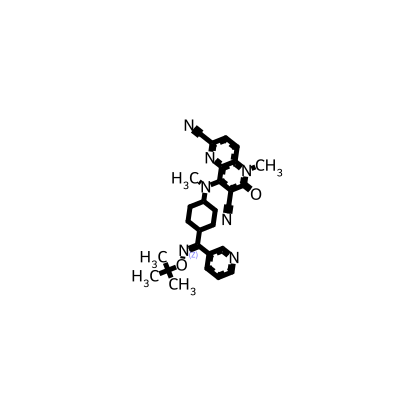 CN(c1c(C#N)c(=O)n(C)c2ccc(C#N)nc12)C1CCC(/C(=N/OC(C)(C)C)c2cccnc2)CC1